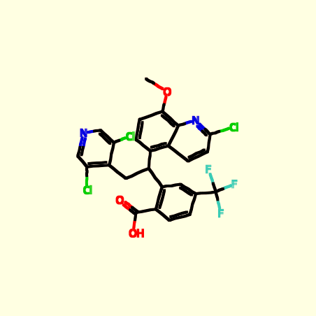 COc1ccc(C(Cc2c(Cl)cncc2Cl)c2cc(C(F)(F)F)ccc2C(=O)O)c2ccc(Cl)nc12